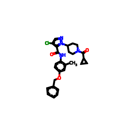 Cc1cc(OCc2ccccc2)ccc1NC(=O)c1c(Cl)cnn1C1CCN(C(=O)C2CC2)CC1